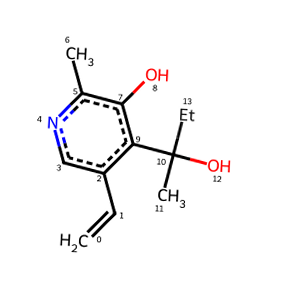 C=Cc1cnc(C)c(O)c1C(C)(O)CC